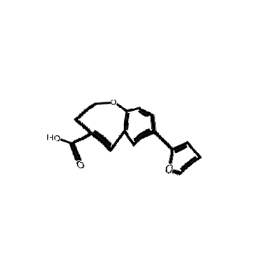 O=C(O)C1=Cc2cc(-c3ccco3)ccc2OCC1